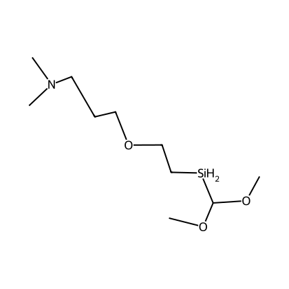 COC(OC)[SiH2]CCOCCCN(C)C